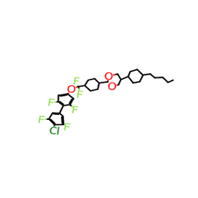 CCCCCC1CCC(C2COC(C3CCC(C(F)(F)Oc4cc(F)c(-c5cc(F)c(Cl)c(F)c5)c(F)c4)CC3)OC2)CC1